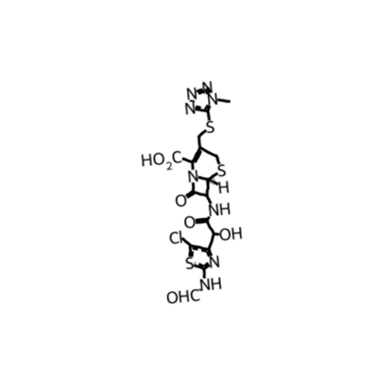 Cn1nnnc1SCC1=C(C(=O)O)N2C(=O)C(NC(=O)C(O)c3nc(NC=O)sc3Cl)[C@H]2SC1